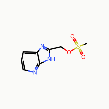 CS(=O)(=O)OCc1nc2cccnc2[nH]1